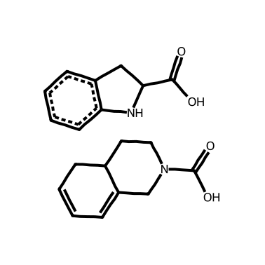 O=C(O)C1Cc2ccccc2N1.O=C(O)N1CCC2CC=CC=C2C1